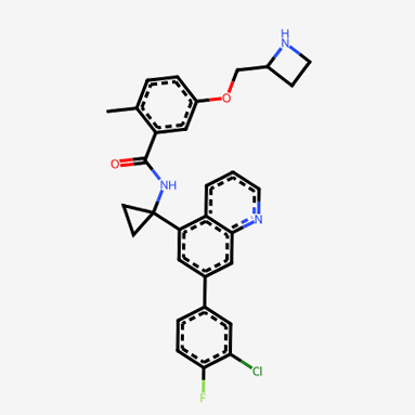 Cc1ccc(OCC2CCN2)cc1C(=O)NC1(c2cc(-c3ccc(F)c(Cl)c3)cc3ncccc23)CC1